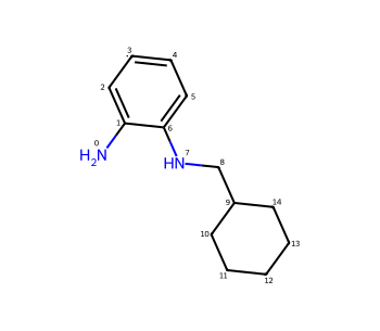 Nc1c[c]ccc1NCC1CCCCC1